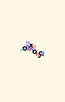 C=Cc1c(Oc2ccc(NC(=O)C3(C(=O)Nc4ccc(F)cc4)CC3)cc2)ccnc1C